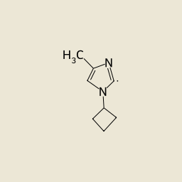 Cc1cn(C2CCC2)[c]n1